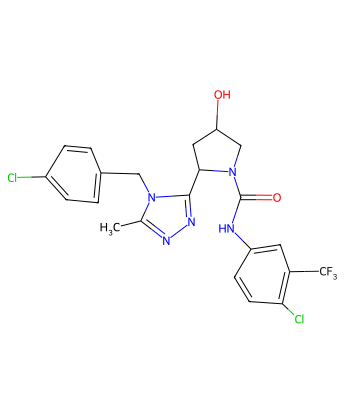 Cc1nnc(C2CC(O)CN2C(=O)Nc2ccc(Cl)c(C(F)(F)F)c2)n1Cc1ccc(Cl)cc1